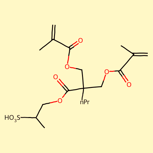 C=C(C)C(=O)OCC(CCC)(COC(=O)C(=C)C)C(=O)OCC(C)S(=O)(=O)O